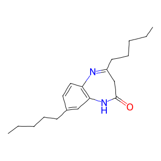 CCCCCC1=Nc2ccc(CCCCC)cc2NC(=O)C1